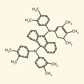 CC1=C(C)C(C)CC(N(c2ccc(C)c(C)c2)c2c3ccccc3c(N(c3ccc(C)c(C)c3)c3ccc(C)c(C)c3)c3ccccc23)=C1